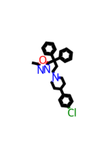 Cc1nnc(C(CCN2CCC(c3ccc(Cl)cc3)CC2)(c2ccccc2)c2ccccc2)o1